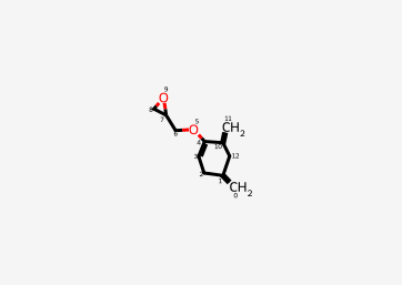 C=C1CC=C(OCC2CO2)C(=C)C1